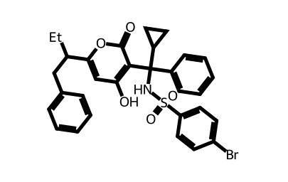 CCC(Cc1ccccc1)c1cc(O)c(C(NS(=O)(=O)c2ccc(Br)cc2)(c2ccccc2)C2CC2)c(=O)o1